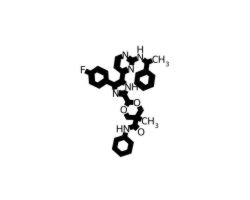 CC(Nc1nccc(-c2[nH]c(C3OCC(C)(C(=O)NC4CCCCC4)CO3)nc2-c2ccc(F)cc2)n1)c1ccccc1